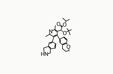 Cc1nc(C)c([C@H](OC(C)(C)C)C(=O)OC(C)C)c(-c2ccc3c(c2)CCCO3)c1-c1ccc2c(c1)CCNC2